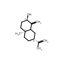 C=C(C)[C@@H]1CC[C@@]2(C)CC[C@@H](O)C(=C)C2C1